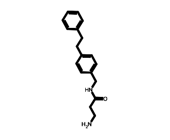 NCCC(=O)NCc1ccc(CCc2ccccc2)cc1